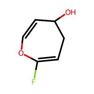 OC1C=COC(F)=CC1